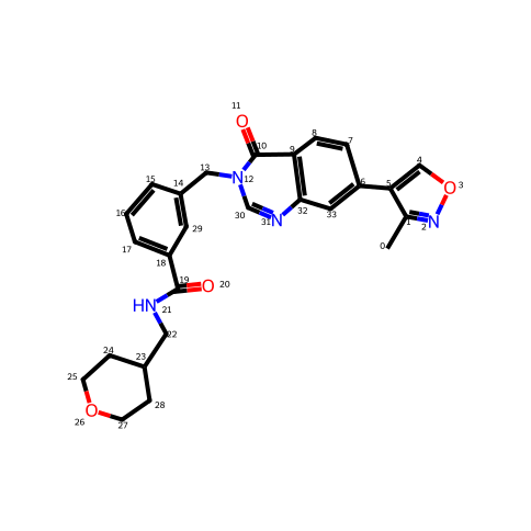 Cc1nocc1-c1ccc2c(=O)n(Cc3cccc(C(=O)NCC4CCOCC4)c3)cnc2c1